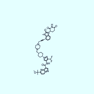 COC(C)(C)c1ccn2ncc(C(=O)Nc3cn([C@H]4CC[C@H](CN5CCN(CC#Cc6cccc7c6n(C)c(=O)n7C6CCC(=O)NC6=O)CC5)CC4)nc3C(F)F)c2n1